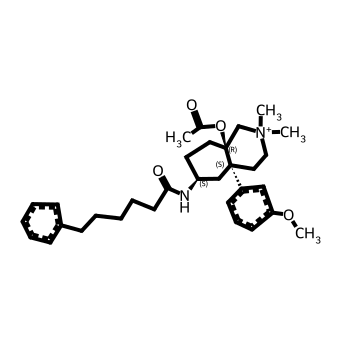 COc1cccc([C@@]23CC[N+](C)(C)C[C@@]2(OC(C)=O)CC[C@H](NC(=O)CCCCCc2ccccc2)C3)c1